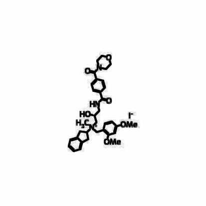 COc1ccc(C[N+](C)(C[C@@H](O)CNC(=O)c2ccc(C(=O)N3CCOCC3)cc2)C2Cc3ccccc3C2)c(OC)c1.[I-]